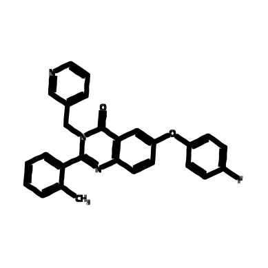 Cc1ccccc1-c1nc2ccc(Oc3ccc(F)cc3)cc2c(=O)n1Cc1cccnc1